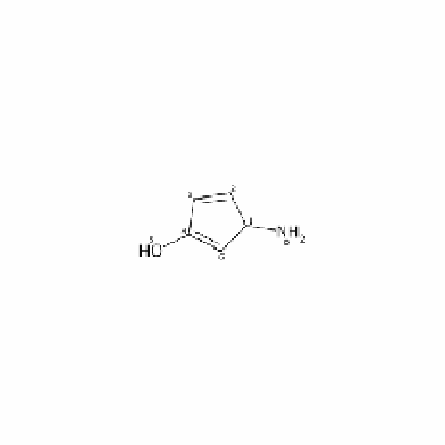 NC1C=CC(O)=C1